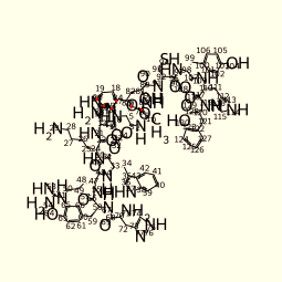 C[C@H](NC(=O)[C@@H](CC(=O)O)NC(=O)[C@H](Cc1ccccc1)NC(=O)[C@H](CCCCN)NC(=O)[C@H](Cc1c[nH]c2ccccc12)NC(=O)[C@@H](CCCNC(=N)N)NC(=O)[C@H](Cc1ccc(O)cc1)NC(=O)[C@@H](N)Cc1c[nH]cn1)C(=O)N[C@@H](CCCNC(=N)N)C(=O)N[C@@H](CS)C(=O)N[C@H](Cc1ccc(O)cc1)C(=O)N[C@@H](Cc1c[nH]cn1)C(=O)N[C@@H](Cc1ccccc1)C(=O)O